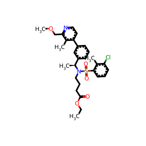 CCOC(=O)CCCN([C@@H](C)c1cccc(-c2ccnc(COC)c2C)c1)S(=O)(=O)c1cccc(Cl)c1C